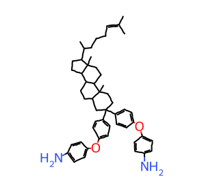 CC(C)=CCCCC(C)C1CCC2C3CCC4CC(c5ccc(Oc6ccc(N)cc6)cc5)(c5ccc(Oc6ccc(N)cc6)cc5)CCC4(C)C3CCC12C